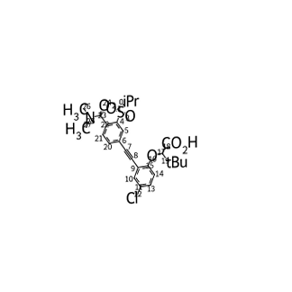 CC(C)S(=O)(=O)c1cc(C#Cc2cc(Cl)ccc2OC(C(=O)O)C(C)(C)C)ccc1C(=O)N(C)C